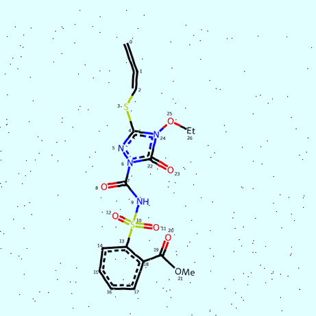 C=C=CSc1nn(C(=O)NS(=O)(=O)c2ccccc2C(=O)OC)c(=O)n1OCC